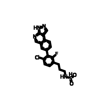 O=[SH](=O)NCCCc1ccc(Cl)c(-c2ccc3c(cnc4[nH]ncc43)c2)c1F